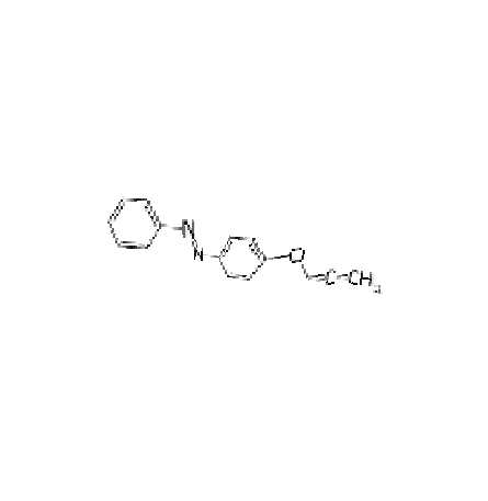 C=C=COc1ccc(N=Nc2ccccc2)cc1